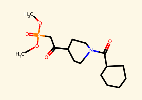 COP(=O)(CC(=O)C1CCN(C(=O)C2CCCCC2)CC1)OC